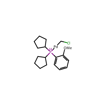 COc1ccccc1[PH]([Pd][CH2]Cl)(C1CCCC1)C1CCCC1